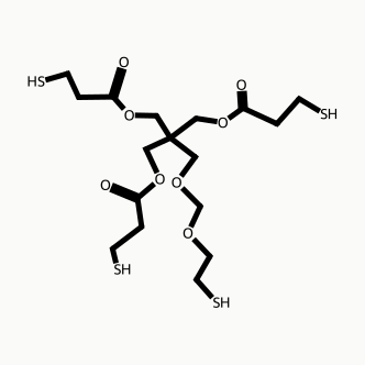 O=C(CCS)OCC(COCOCCS)(COC(=O)CCS)COC(=O)CCS